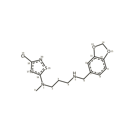 CN(CCCNCc1ccc2c(c1)OCO2)c1nc(Cl)ns1